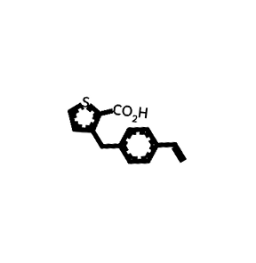 C=Cc1ccc(Cc2ccsc2C(=O)O)cc1